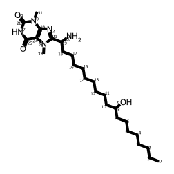 CCCCCCCCC(O)CCCCCCCCCC(N)c1nc2c(c(=O)[nH]c(=O)n2C)n1C